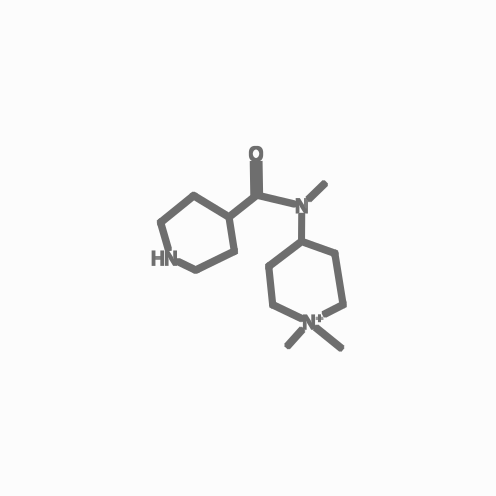 CN(C(=O)C1CCNCC1)C1CC[N+](C)(C)CC1